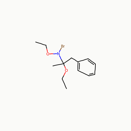 CCON(Br)C(C)(Cc1ccccc1)OCC